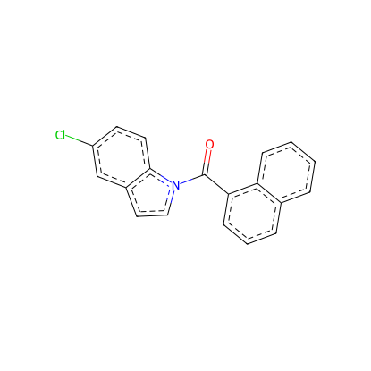 O=C(c1cccc2ccccc12)n1ccc2cc(Cl)ccc21